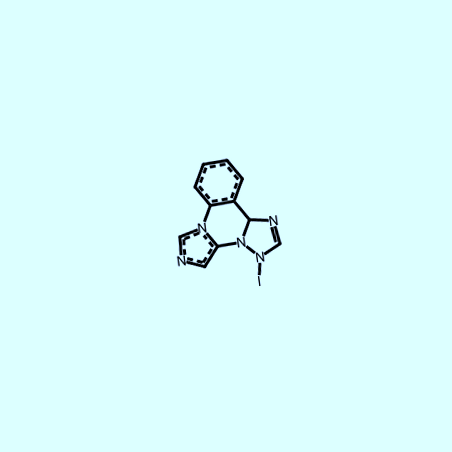 IN1C=NC2c3ccccc3-n3cncc3N21